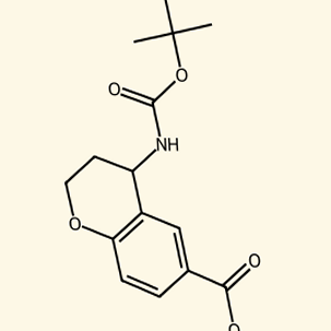 COC(=O)c1ccc2c(c1)C(NC(=O)OC(C)(C)C)CCO2